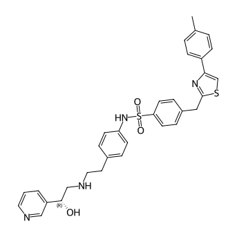 Cc1ccc(-c2csc(Cc3ccc(S(=O)(=O)Nc4ccc(CCNC[C@H](O)c5cccnc5)cc4)cc3)n2)cc1